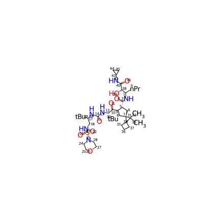 CCCC(NC(=O)[C@@H]1C[C@@]2(CC1C(=O)[C@@H](NC(=O)N[C@@H](CNS(=O)(=O)N1CCOCC1)C(C)(C)C)C(C)(C)C)C(C)(C)C21CCC1)C(O)C(=O)NC1CC1